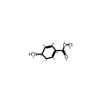 CCOC(=O)C1=CCC(N)C=C1